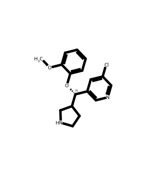 COc1ccccc1O[C@H](c1cncc(Cl)c1)C1CCNC1